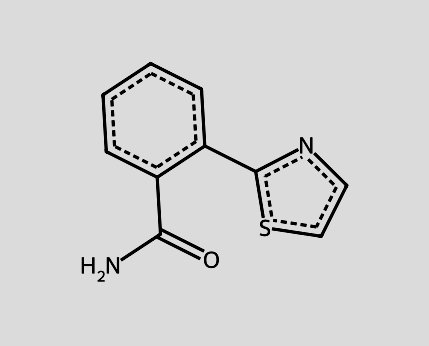 NC(=O)c1ccccc1-c1nccs1